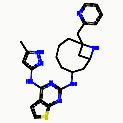 Cc1cc(Nc2nc(NC3CCCCC4(Cc5ccccn5)CC(C3)N4)nc3sccc23)n[nH]1